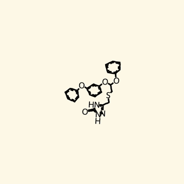 O=c1[nH]nc(CSCC(Oc2ccccc2)Oc2cccc(Oc3ccccc3)c2)[nH]1